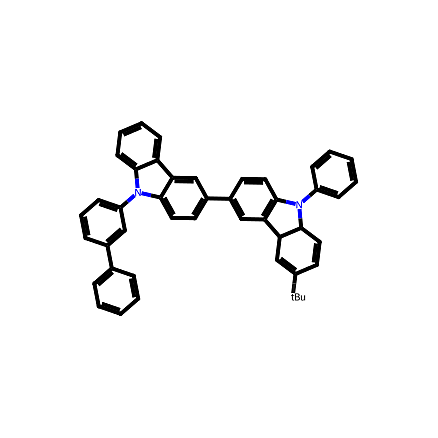 CC(C)(C)C1=CC2c3cc(-c4ccc5c(c4)c4ccccc4n5-c4cccc(-c5ccccc5)c4)ccc3N(c3ccccc3)C2C=C1